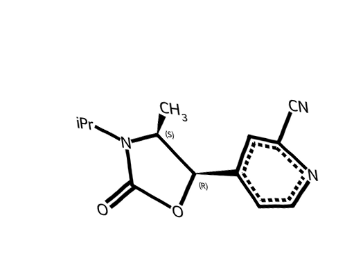 CC(C)N1C(=O)O[C@H](c2ccnc(C#N)c2)[C@@H]1C